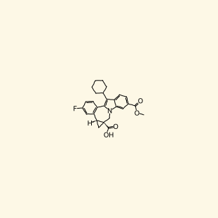 COC(=O)c1ccc2c(C3CCCCC3)c3n(c2c1)C[C@]1(C(=O)O)C[C@@H]1c1cc(F)ccc1-3